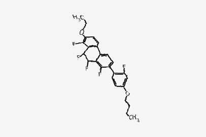 CCCCOc1ccc(-c2ccc3c(c2F)C(F)C(F)c2c-3ccc(OCC)c2F)c(F)c1